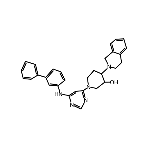 OC1CN(c2cc(Nc3cccc(-c4ccccc4)c3)ncn2)CCC1N1CCc2ccccc2C1